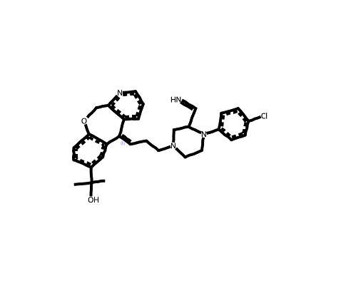 CC(C)(O)c1ccc2c(c1)/C(=C/CCN1CCN(c3ccc(Cl)cc3)C(C=N)C1)c1cccnc1CO2